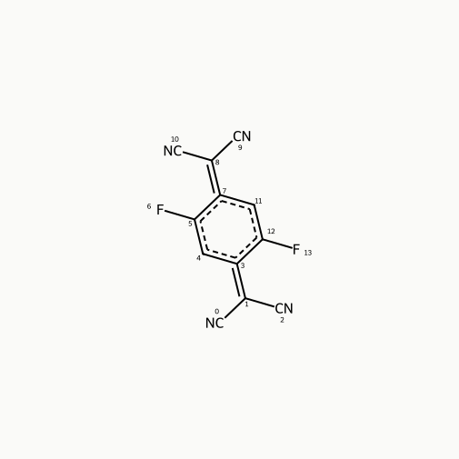 N#CC(C#N)=c1cc(F)c(=C(C#N)C#N)cc1F